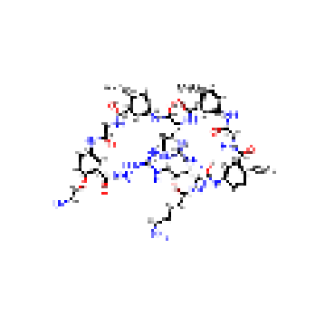 COc1ccc(NC(=O)[C@@H](CCCNC(=N)N)NC(=O)CCCCN)cc1C(=O)NCC(=O)Nc1ccc(OC)c(C(=O)N[C@H](CCCNC(=N)N)C(=O)Nc2ccc(OC)c(C(=O)NCC(=O)Nc3ccc(OCCN)c(C(N)=O)c3)c2)c1